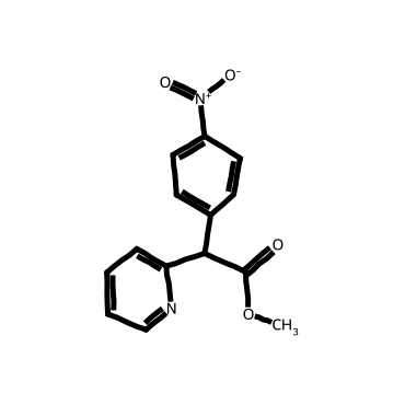 COC(=O)C(c1ccc([N+](=O)[O-])cc1)c1ccccn1